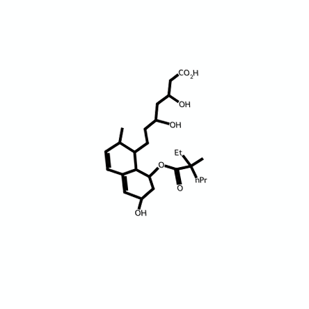 CCCC(C)(CC)C(=O)OC1CC(O)C=C2C=CC(C)C(CCC(O)CC(O)CC(=O)O)C21